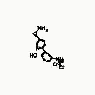 CCS(=O)(=O)Nc1cccc(-c2ccc(C3CC3N)cn2)c1.Cl